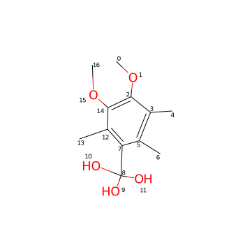 COc1c(C)c(C)c(C(O)(O)O)c(C)c1OC